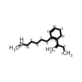 C=C(CC)C1=C(CCCCCNC)C=CCC1